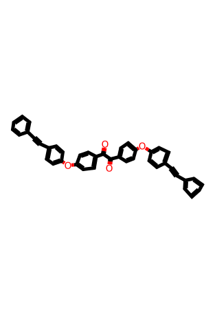 O=C(C(=O)c1ccc(Oc2ccc(C#Cc3ccccc3)cc2)cc1)c1ccc(Oc2ccc(C#Cc3ccccc3)cc2)cc1